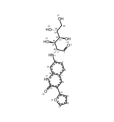 O=C[C@H](Nc1ccc2cc(-c3ccco3)c(=O)[nH]c2c1)[C@@H](O)[C@H](O)[C@H](O)CO